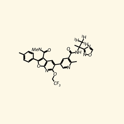 [2H]C([2H])([2H])C(C)(NC(=O)c1cc(-c2cc3c(C(=O)NC)c(-c4ccc(C)cc4)oc3nc2OCC(F)(F)F)cnc1C)c1ncon1